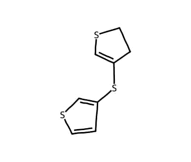 C1=C(Sc2ccsc2)CCS1